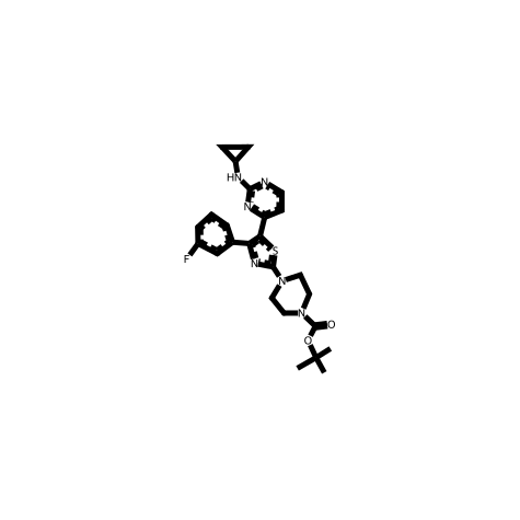 CC(C)(C)OC(=O)N1CCN(c2nc(-c3cccc(F)c3)c(-c3ccnc(NC4CC4)n3)s2)CC1